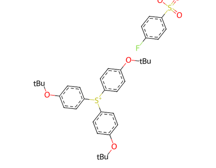 CC(C)(C)Oc1ccc([S+](c2ccc(OC(C)(C)C)cc2)c2ccc(OC(C)(C)C)cc2)cc1.O=S(=O)([O-])c1ccc(F)cc1